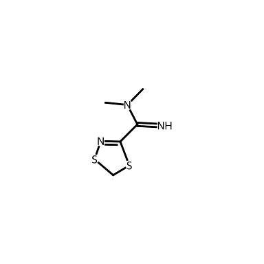 CN(C)C(=N)C1=NSCS1